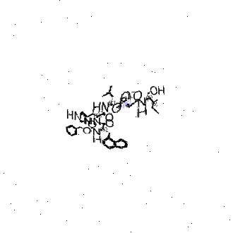 CC[C@H](C)[C@@H](CO)NC(=O)/C=[P+](\[O-])O[C@@H](CC(C)C)NC(=O)[C@H](Cc1c[nH]cn1)NC(=O)[C@H](Cc1cccc2ccccc12)NC(=O)OCc1ccccc1